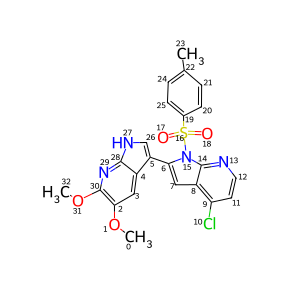 COc1cc2c(-c3cc4c(Cl)ccnc4n3S(=O)(=O)c3ccc(C)cc3)c[nH]c2nc1OC